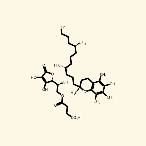 Cc1c(C)c2c(c(C)c1O)CC[C@@](C)(CCC[C@H](C)CCC[C@H](C)CCCC(C)C)O2.O=C(O)CCC(=O)OC[C@H](O)[C@H]1OC(=O)C(O)=C1O